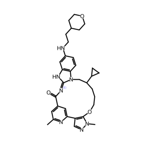 Cc1cc2cc(n1)-c1cnn(C)c1OCCCC(C1CC1)CN1/C(=N/C2=O)Nc2cc(NCCC3CCOCC3)ccc21